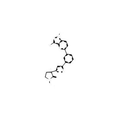 CN1CC[C@@](O)(c2cc(-c3cccc(-c4ccc5c(n4)c([N+](=O)[O-])nn5C)c3)no2)C1=O